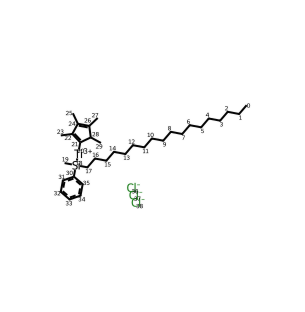 CCCCCCCCCCCCCCCCCC[Si](C)([Ti+3][C]1=C(C)C(C)=C(C)C1C)c1ccccc1.[Cl-].[Cl-].[Cl-]